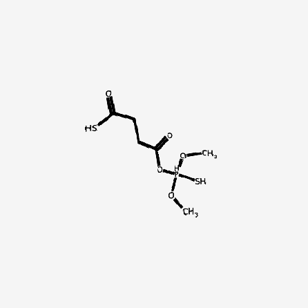 CO[PH](S)(OC)OC(=O)CCC(=O)S